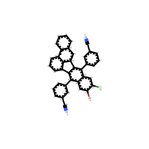 N#Cc1cccc(-c2c3c(c(-c4cccc(C#N)c4)c4cc(Br)c(Cl)cc24)-c2cccc4c2c-3cc2ccccc24)c1